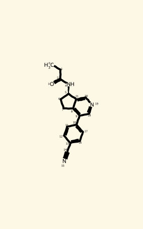 CCC(=O)N[C@@H]1CCc2c(-c3ccc(C#N)cc3)cncc21